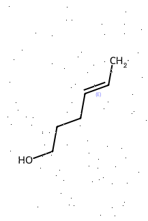 [CH2]/C=C/CCCO